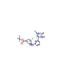 C=CN/C(=C\NC)c1cccc(N[C@H]2CN(C(=O)OC(C)(C)C)C[C@@H]2F)n1